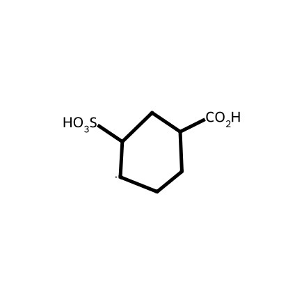 O=C(O)C1CC[CH]C(S(=O)(=O)O)C1